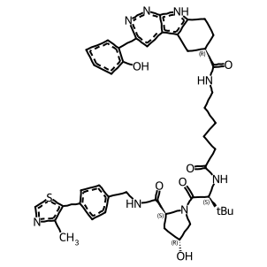 Cc1ncsc1-c1ccc(CNC(=O)[C@@H]2C[C@@H](O)CN2C(=O)[C@@H](NC(=O)CCCCCNC(=O)[C@@H]2CCc3[nH]c4nnc(-c5ccccc5O)cc4c3C2)C(C)(C)C)cc1